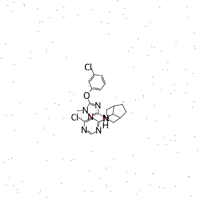 Cn1nc(NC2C3CCC2CN(c2cc(Cl)ncn2)C3)nc1Oc1cccc(Cl)c1